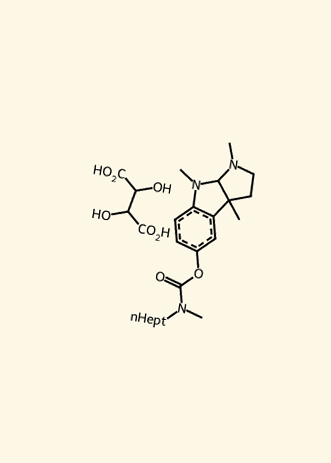 CCCCCCCN(C)C(=O)Oc1ccc2c(c1)C1(C)CCN(C)C1N2C.O=C(O)C(O)C(O)C(=O)O